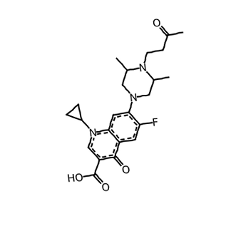 CC(=O)CCN1C(C)CN(c2cc3c(cc2F)c(=O)c(C(=O)O)cn3C2CC2)CC1C